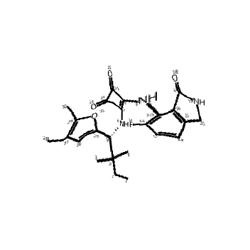 CCC(C)(C)[C@@H](Nc1c(Nc2c(F)ccc3c2C(=O)NC3)c(=O)c1=O)c1cc(C)c(C)o1